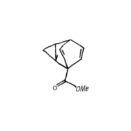 COC(=O)C12C=CC(C=C1)C1CC12C